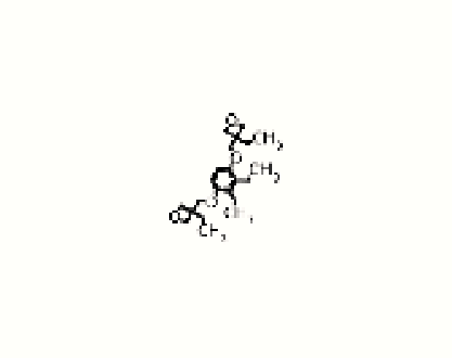 CCc1c(OCC2(CC)COC2)ccc(OCC2(CC)COC2)c1CC